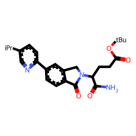 CC(C)c1ccc(-c2ccc3c(c2)CN(C(CCC(=O)OC(C)(C)C)C(N)=O)C3=O)nc1